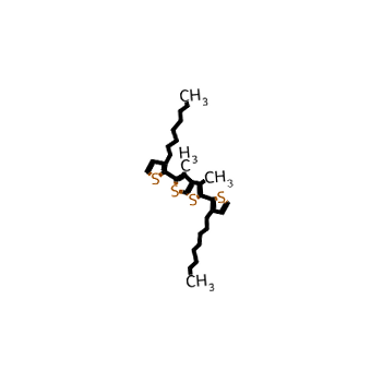 CCCCCCCCc1ccsc1-c1sc2sc(-c3sccc3CCCCCCCC)c(C)c2c1C